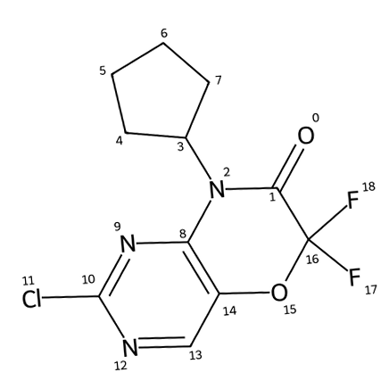 O=C1N(C2CCCC2)c2nc(Cl)ncc2OC1(F)F